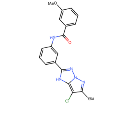 COc1cccc(C(=O)Nc2cccc(-c3nn4nc(C(C)(C)C)c(Cl)c4[nH]3)c2)c1